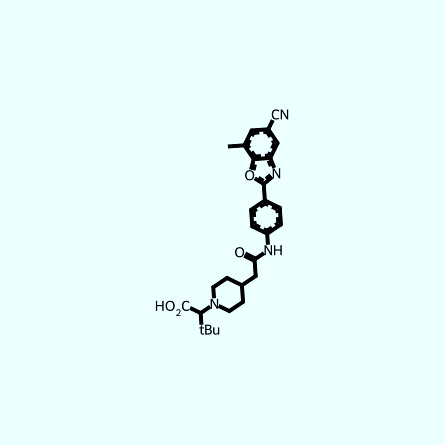 Cc1cc(C#N)cc2nc(-c3ccc(NC(=O)CC4CCN(C(C(=O)O)C(C)(C)C)CC4)cc3)oc12